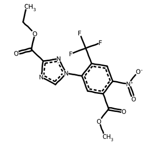 CCOC(=O)c1ncn(-c2cc(C(=O)OC)c([N+](=O)[O-])cc2C(F)(F)F)n1